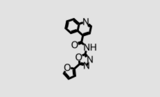 O=C(Nc1nnc(-c2ccco2)o1)c1ccnc2ccccc12